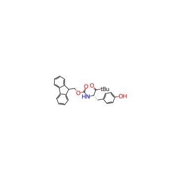 CC(C)(C)C(=O)[C@H](Cc1ccc(O)cc1)NC(=O)OCC1c2ccccc2-c2ccccc21